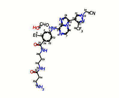 CCc1cc(Nc2nccn3c(-c4cn(CC#N)nc4C(F)(F)F)cnc23)ccc1C(=O)NCCCNC(=O)CCN.O=CO